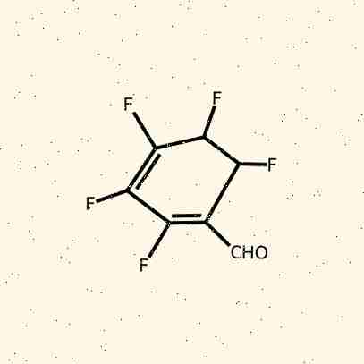 O=CC1=C(F)C(F)=C(F)C(F)C1F